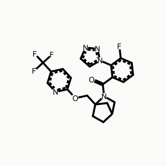 O=C(c1cccc(F)c1-n1ccnn1)N1CC2CCC1(COc1ccc(C(F)(F)F)cn1)C2